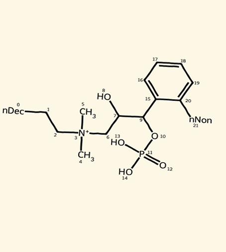 CCCCCCCCCCCC[N+](C)(C)CC(O)C(OP(=O)(O)O)c1ccccc1CCCCCCCCC